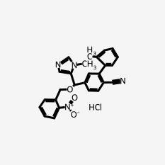 Cc1ccccc1-c1cc(C(OCc2ccccc2[N+](=O)[O-])c2cncn2C)ccc1C#N.Cl